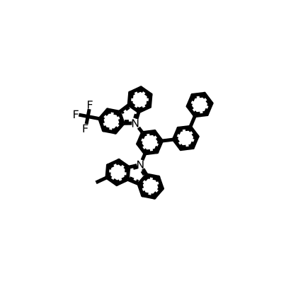 Cc1ccc2c(c1)c1ccccc1n2-c1cc(-c2cccc(-c3ccccc3)c2)cc(-n2c3ccccc3c3cc(C(F)(F)F)ccc32)c1